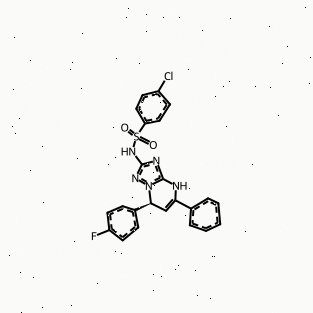 O=S(=O)(Nc1nc2n(n1)[C@H](c1ccc(F)cc1)C=C(c1ccccc1)N2)c1ccc(Cl)cc1